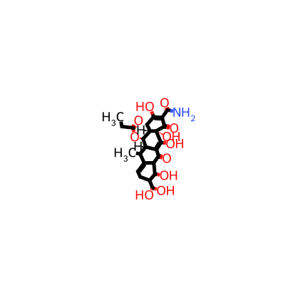 CCC(=O)O[C@@H]1[C@H]2CC(O)=C(C(N)=O)C(=O)[C@@]2(O)C(O)=C2C(=O)C3C(=CCC(C(O)O)C3O)C(C)[C@H]21